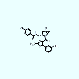 Cc1cccc(-c2sc(C)nc2C(=O)N2C3C[C@H]3C[C@H]2CNC(=O)c2ccc(Cl)cc2)c1